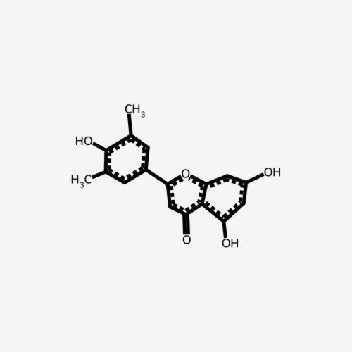 Cc1cc(-c2cc(=O)c3c(O)cc(O)cc3o2)cc(C)c1O